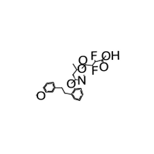 COc1cccc(CCc2ccccc2O[C@@H](CC(C)OC(=O)C(F)C(F)C(=O)O)N(C)C)c1